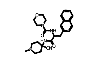 CN1CCC(C#N)(NC(=O)C(Cc2ccc3ccccc3c2)NC(=O)N2CCOCC2)CC1